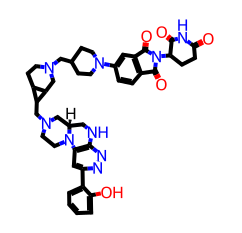 O=C1CCC(N2C(=O)c3ccc(N4CCC(CN5CCC6C(C5)C6CN5CCN6c7cc(-c8ccccc8O)nnc7NC[C@H]6C5)CC4)cc3C2=O)C(=O)N1